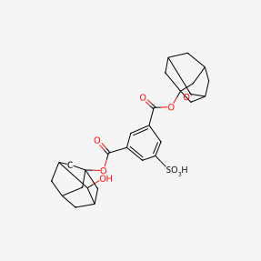 O=C(OC12CC3CC(C1)C(=O)C(C3)C2)c1cc(C(=O)OC23CC4CC(C2)C(O)C(C4)C3)cc(S(=O)(=O)O)c1